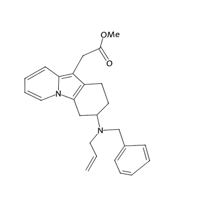 C=CCN(Cc1ccccc1)C1CCc2c(CC(=O)OC)c3ccccn3c2C1